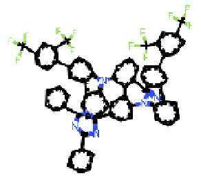 N#Cc1cccc(-n2c3ccccc3c3cc(-c4ccc(C(F)(F)F)cc4C(F)(F)F)ccc32)c1-c1cc(-c2nc(-c3ccccc3)nc(-c3ccccc3)n2)ccc1-n1c2ccccc2c2cc(-c3ccc(C(F)(F)F)cc3C(F)(F)F)ccc21